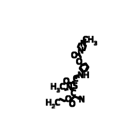 C=CCOC(=O)C(=C=c1sc(=C=CNc2cccc(OCC(=O)N3CCN(C)CC3)c2)c(=O)n1CC)C#N